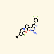 Nc1nc(-c2cccc(-n3ccc4cc(C5CC5)cc(F)c4c3=O)c2CO)c2cc(-c3ccc(F)c(F)c3)[nH]c2n1